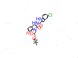 CC(C)(C)[Si](C)(C)OCC(O)CN1C(=O)C(NC(=O)c2cc3cc(Cl)ccc3[nH]2)Cc2ccccc21